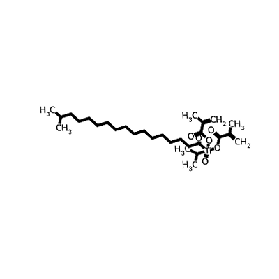 C=C(C)C(=O)[O][Ti](=[O])([O]C(=O)C(=C)C)([C](=O)CCCCCCCCCCCCCCC(C)C)[CH](C)C